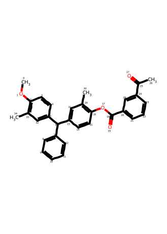 COc1ccc(C(c2ccccc2)c2ccc(OC(=O)c3cccc(C(C)=O)c3)c(C)c2)cc1C